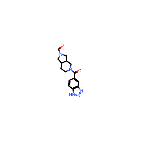 O=CN1CC2CCN(C(=O)c3ccc4[nH]nnc4c3)CC2C1